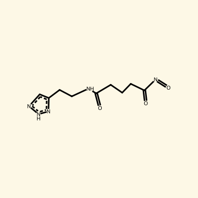 O=NC(=O)CCCC(=O)NCCc1cn[nH]n1